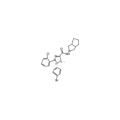 C[C@H]1C(C(=O)NN2CC3CCCC3C2)=NN(c2ccccc2Cl)[C@H]1c1ccc(Br)cc1